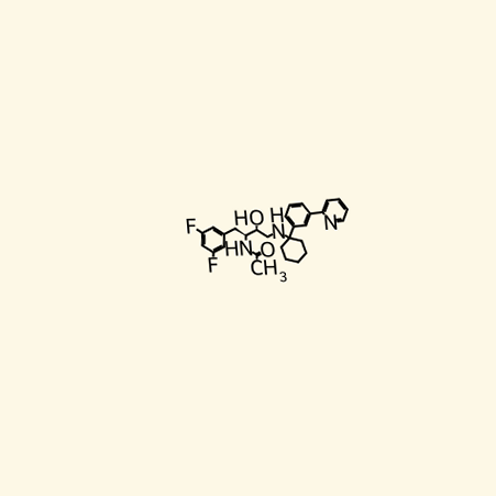 CC(=O)N[C@@H](Cc1cc(F)cc(F)c1)[C@@H](O)CNC1(c2cccc(-c3ccccn3)c2)CCCCC1